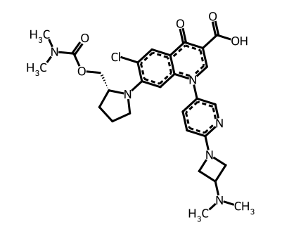 CN(C)C(=O)OC[C@H]1CCCN1c1cc2c(cc1Cl)c(=O)c(C(=O)O)cn2-c1ccc(N2CC(N(C)C)C2)nc1